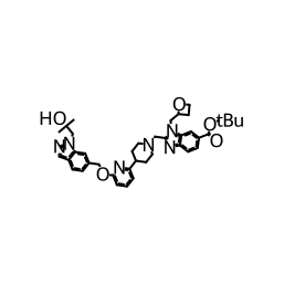 CC(C)(O)Cn1ncc2ccc(COc3cccc(C4CCN(Cc5nc6ccc(C(=O)OC(C)(C)C)cc6n5CC5CCO5)CC4)n3)cc21